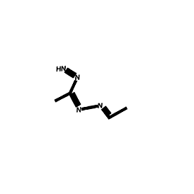 C/C=N/N=C(/C)N=N